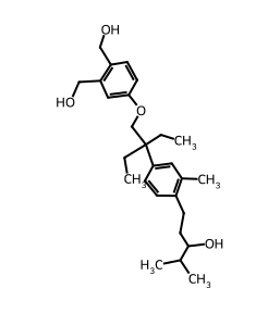 CCC(CC)(COc1ccc(CO)c(CO)c1)c1ccc(CCC(O)C(C)C)c(C)c1